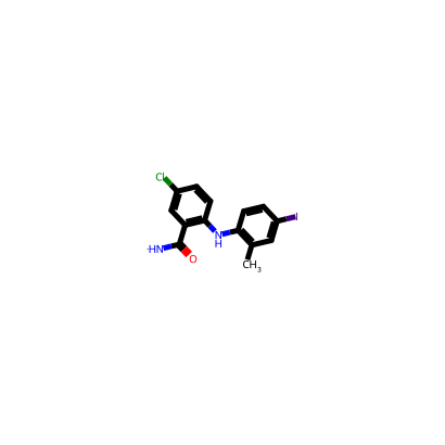 Cc1cc(I)ccc1Nc1ccc(Cl)cc1C([NH])=O